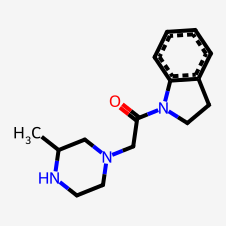 CC1CN(CC(=O)N2CCc3ccccc32)CCN1